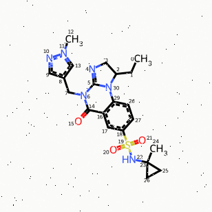 CCC1CN=C2N(Cc3cnn(C)c3)C(=O)c3cc(S(=O)(=O)NC4(C)CC4)ccc3N21